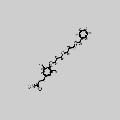 Cc1cc(CCC(=O)N=O)cc(C)c1OCCCOCCCOCc1ccccc1